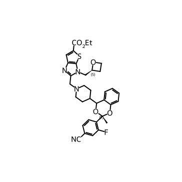 CCOC(=O)c1cc2nc(CN3CCC(C4O[C@@](C)(c5ccc(C#N)cc5F)Oc5ccccc54)CC3)n(C[C@@H]3CCO3)c2s1